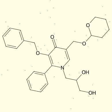 O=c1c(COC2CCCCO2)cn(CC(O)CO)c(-c2ccccc2)c1OCc1ccccc1